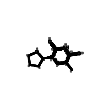 Cc1cn([C@H]2CCCO2)c(=O)[nH]c1=O